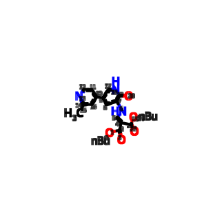 CCCCOC(=O)C(=CNc1cc(-c2ccnc(C)c2)c[nH]c1=O)C(=O)OCCCC